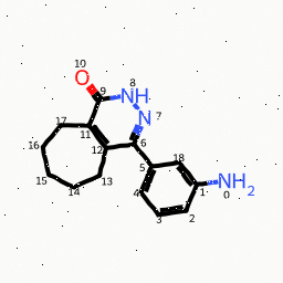 Nc1cccc(-c2n[nH]c(=O)c3c2CCCCC3)c1